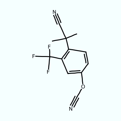 CC(C)(C#N)c1ccc(OC#N)cc1C(F)(F)F